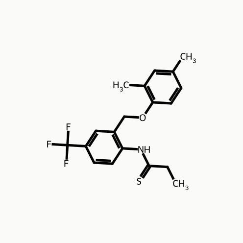 CCC(=S)Nc1ccc(C(F)(F)F)cc1COc1ccc(C)cc1C